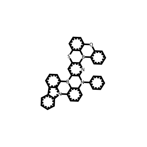 c1ccc(N2c3cccc4c3B(c3cc5c(nc32)B2c3ccccc3Oc3cccc(c32)S5)c2cccc3c5ccccc5n-4c23)cc1